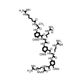 CNC(=O)[C@@H](CCCNC(=N)N)NC(=O)c1cc(NC(=O)[C@@H](CCCNC(=N)N)NC(=O)c2cc(NC(=O)[C@@H](CCCNC(=N)N)NC(=O)c3cc(NC(=O)[C@@H](C)NC(=O)CCCCNC(=N)N)ccc3OC)ccc2OC)ccc1OC